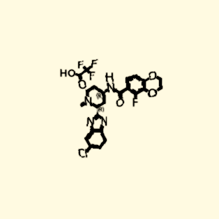 CN1CC[C@@H](NC(=O)c2ccc3c(c2F)OCCO3)C[C@@H]1C1=NC2=CC(Cl)=CCC2=N1.O=C(O)C(F)(F)F